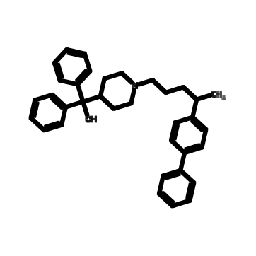 CC(CCCN1CCC(C(O)(c2ccccc2)c2ccccc2)CC1)c1ccc(-c2ccccc2)cc1